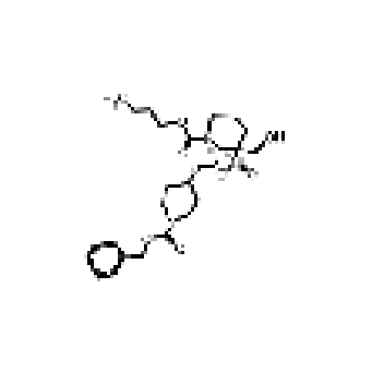 CCCCOC(=O)N1CCC[C@](CO)([N+](=O)[O-])[C@@H]1COC1CCN(C(=O)OCc2ccccc2)CC1